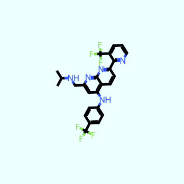 CC(C)NCc1cc(Nc2ccc(C(F)(F)F)cc2)c2ccc(-c3ncccc3C(F)(F)F)nc2n1